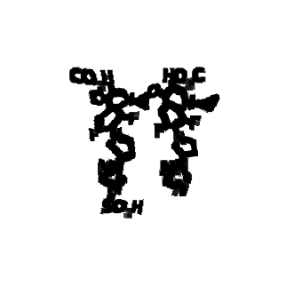 CS(=O)(=O)O.O=C(O)c1cn(C2CC2)c2c(F)c(N3CCC(n4cncn4)C3)c(F)cc2c1=O.O=C(O)c1cn(C2CC2)c2c(F)c(N3CCC(n4cncn4)C3)c(F)cc2c1=O